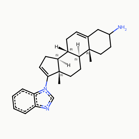 C[C@]12CCC(N)CC1=CC[C@@H]1[C@@H]2CC[C@]2(C)C(n3cnc4ccccc43)=CC[C@@H]12